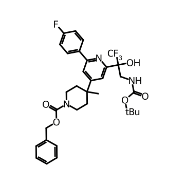 CC(C)(C)OC(=O)NCC(O)(c1cc(C2(C)CCN(C(=O)OCc3ccccc3)CC2)cc(-c2ccc(F)cc2)n1)C(F)(F)F